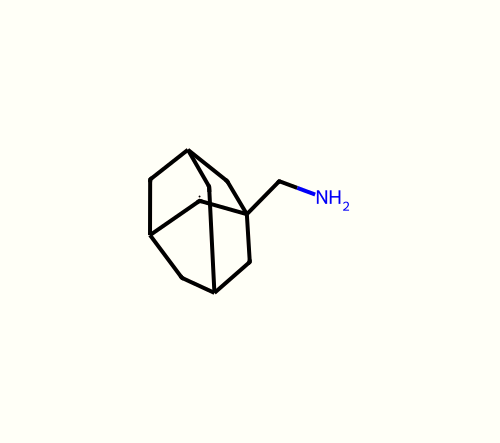 NCC12[CH]C3CC(CC(C3)C1)C2